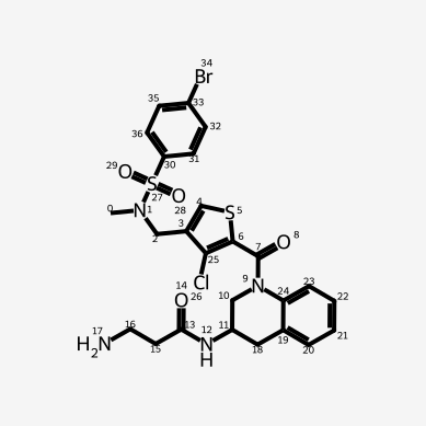 CN(Cc1csc(C(=O)N2CC(NC(=O)CCN)Cc3ccccc32)c1Cl)S(=O)(=O)c1ccc(Br)cc1